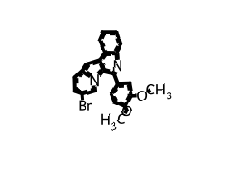 COc1ccc(-c2nc3ccccc3c3cc4ccc(Br)cn4c23)cc1OC